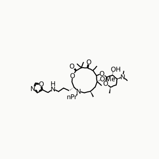 CCCN1C[C@H](C)C[C@@](C)(OC)C(O[C@@H]2O[C@H](C)C[C@H](N(C)C)[C@H]2O)C(C)C(=O)C(C)(C)C(=O)OC[C@H]1CCCNCc1cnco1